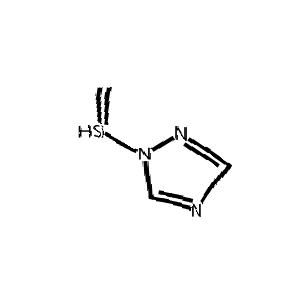 C=[SiH]n1cncn1